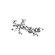 Cc1c(NCCO)nc(NCCO)c(/N=N/c2ccc(S(=O)(=O)CCN(CC(C)O)CC(C)O)cc2)c1C